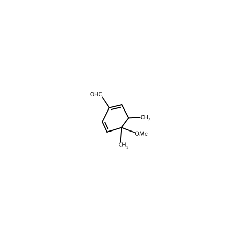 COC1(C)C=CC(C=O)=CC1C